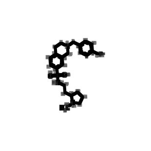 CC(C)c1ccc(CN2CCc3ccc(S(=O)(=O)NCCC4CCCN4C)cc3C2)cc1